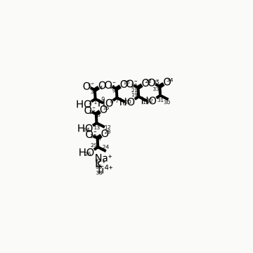 CC(O)C(=O)[O-].CC(O)C(=O)[O-].CC(O)C(=O)[O-].CC(O)C(=O)[O-].CC(O)C(=O)[O-].CC(O)C(=O)[O-].[K+].[Na+].[Ti+4]